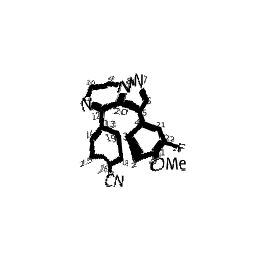 COc1ccc(-c2cnn3ccnc(C4=CCC(C#N)CC4)c23)cc1F